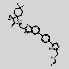 O=CNCc1ncc(-c2ccc(-c3ccc4nc(CNC(=O)C5(C6(O)CCC(F)(F)CC6)CC5)[nH]c4c3)cc2)[nH]1